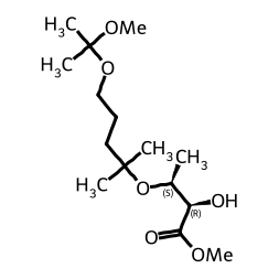 COC(=O)[C@H](O)[C@H](C)OC(C)(C)CCCOC(C)(C)OC